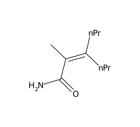 CCCC(CCC)=C(C)C(N)=O